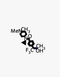 CNC1(C)CCC(N(C(=O)c2ccc(/C(=C(\C)O)C(F)(F)F)cc2)C2CC2)CC1